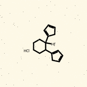 Cl.[Hf][C]1(C2=CC=CC2)CCCCC1C1=CC=CC1